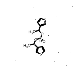 CC(O[PH](=O)OC(C)c1ccsc1)c1ccsc1